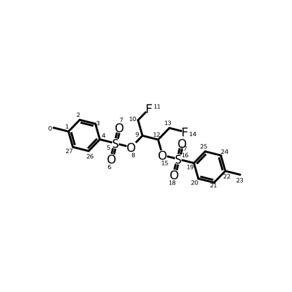 Cc1ccc(S(=O)(=O)OC(CF)C(CF)OS(=O)(=O)c2ccc(C)cc2)cc1